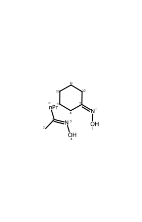 CCCC(C)=NO.ON=C1CCCCC1